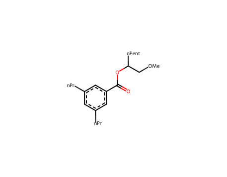 CCCCCC(COC)OC(=O)c1cc(CCC)cc(CCC)c1